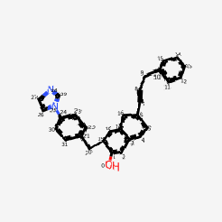 Oc1cc2ccc(C#CCc3ccccc3)cc2cc1Cc1ccc(-n2ccnc2)cc1